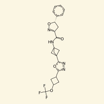 O=C(NC12CC(c3nnc(C4CC(OC(F)(F)F)C4)o3)(C1)C2)C1=NO[C@H](c2ccccc2)C1